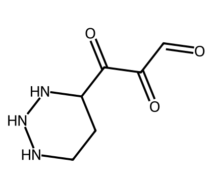 O=CC(=O)C(=O)C1CCNNN1